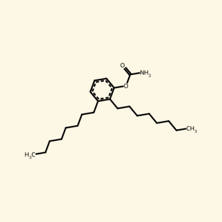 CCCCCCCCc1cccc(OC(N)=O)c1CCCCCCCC